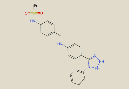 CC(C)S(=O)(=O)Nc1ccc(CNc2ccc(C3=NNNN3c3ccccc3)cc2)cc1